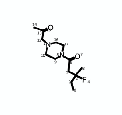 CCC(C)(F)CC(=O)N1CCN(CC(C)=O)CC1